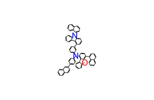 c1cc(-c2cccc3c2c2ccccc2n3-c2cccc3ccccc23)cc(N(c2ccc(-c3ccc4ccccc4c3)cc2)c2ccc(-c3cccc4ccccc34)c3oc4ccccc4c23)c1